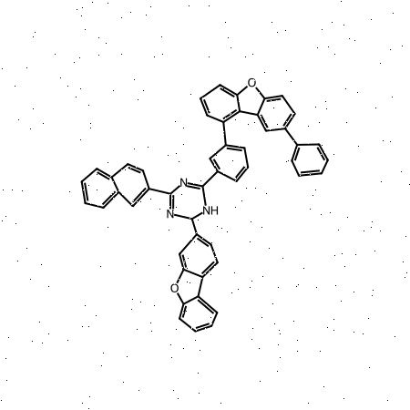 c1ccc(-c2ccc3oc4cccc(-c5cccc(C6=NC(c7ccc8ccccc8c7)=NC(c7ccc8c(c7)oc7ccccc78)N6)c5)c4c3c2)cc1